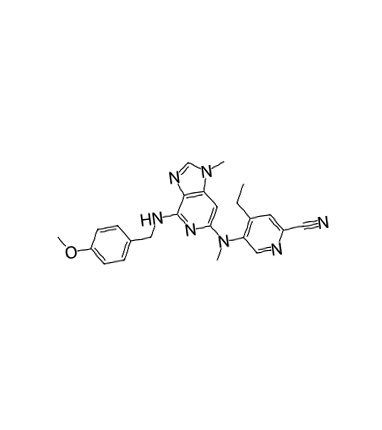 CCc1cc(C#N)ncc1N(C)c1cc2c(ncn2C)c(NCc2ccc(OC)cc2)n1